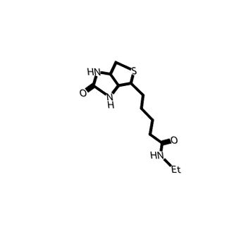 CCNC(=O)CCCCC1SCC2NC(=O)NC21